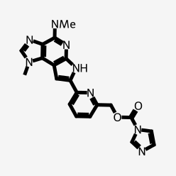 CNc1nc2[nH]c(-c3cccc(COC(=O)n4ccnc4)n3)cc2c2c1ncn2C